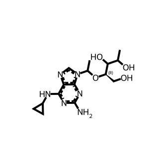 CC(O)C(O)[C@@H](CO)OC(C)n1cnc2c(NC3CC3)nc(N)nc21